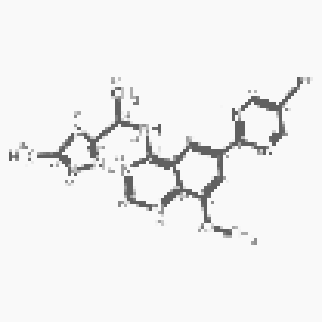 COc1cc(-c2ncc(F)cn2)cc2c(NC(C)c3nnc(C)s3)ncnc12